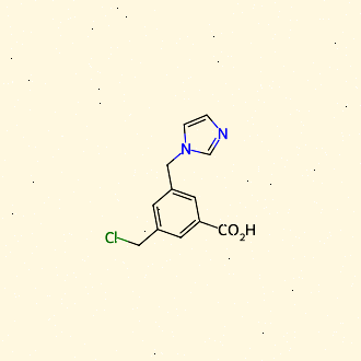 O=C(O)c1cc(CCl)cc(Cn2ccnc2)c1